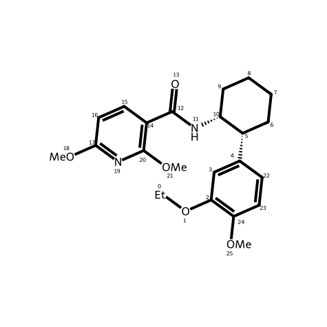 CCOc1cc([C@H]2CCCC[C@H]2NC(=O)c2ccc(OC)nc2OC)ccc1OC